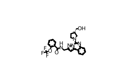 O=C(NCc1cc2c3ccccc3nc(N3CC[C@H](CO)C3)n2n1)c1ccccc1OC(F)(F)F